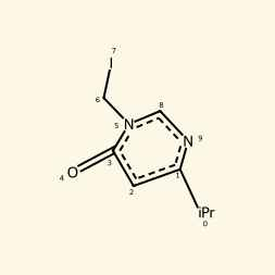 CC(C)c1cc(=O)n(CI)cn1